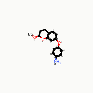 CCOC1CCc2ccc(Oc3ccc(N)cc3)cc2O1